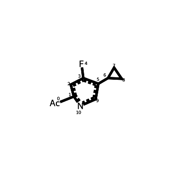 CC(=O)c1cc(F)c(C2CC2)cn1